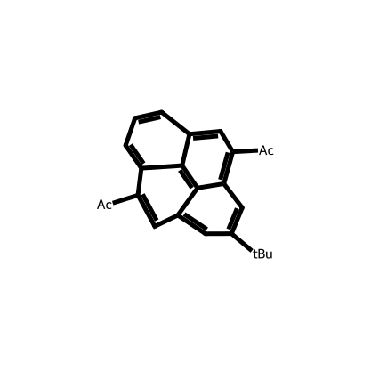 CC(=O)c1cc2cc(C(C)(C)C)cc3c(C(C)=O)cc4cccc1c4c23